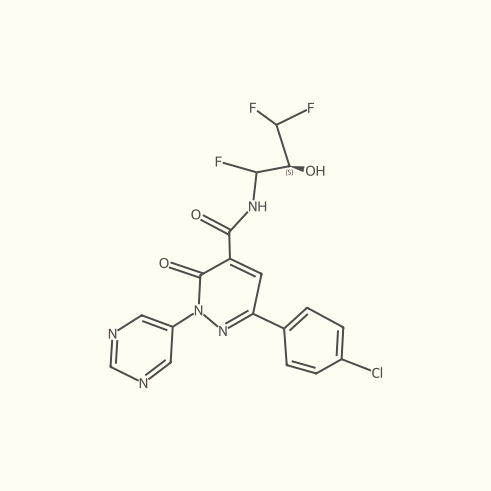 O=C(NC(F)[C@H](O)C(F)F)c1cc(-c2ccc(Cl)cc2)nn(-c2cncnc2)c1=O